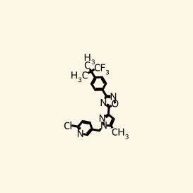 Cc1cc(-c2nc(-c3ccc(C(C)(C)C(F)(F)F)cc3)no2)nn1Cc1ccc(Cl)nc1